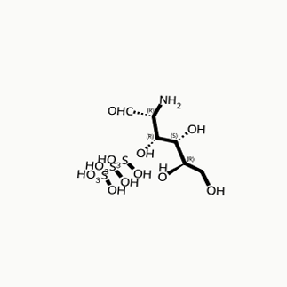 N[C@@H](C=O)[C@@H](O)[C@H](O)[C@H](O)CO.O=S(=O)(O)O.O=S(=O)(O)O.O=S(=O)(O)O